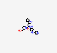 O=C(C(Cc1c[nH]c2ccccc12)Nc1ccc(Nc2ccncc2)cc1)N1CCCC(CO)C1